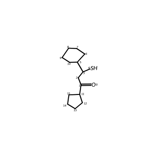 O=C(CC(S)C1CCCCC1)C1CCCC1